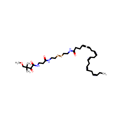 CC/C=C\C/C=C\C/C=C\C/C=C\CC=C=CCCC(=O)NCCSSCCNC(=O)CCNC(=O)C(=O)C(C)(C)COC